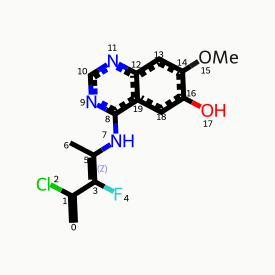 C=C(Cl)/C(F)=C(\C)Nc1ncnc2cc(OC)c(O)cc12